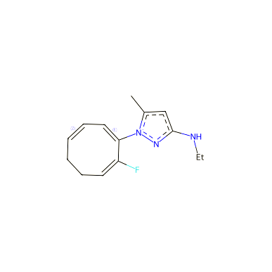 CCNc1cc(C)n(/C2=C/C=C\CCC=C2F)n1